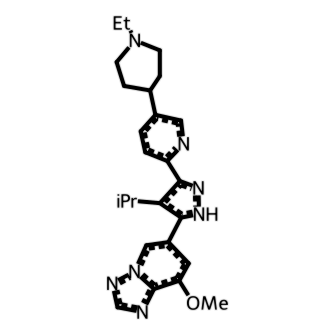 CCN1CCC(c2ccc(-c3n[nH]c(-c4cc(OC)c5ncnn5c4)c3C(C)C)nc2)CC1